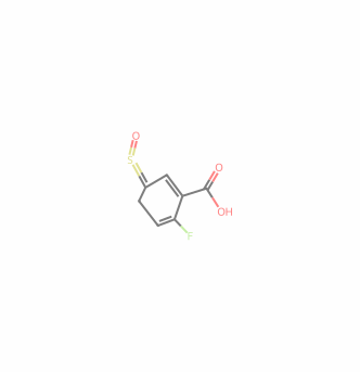 O=S=C1C=C(C(=O)O)C(F)=CC1